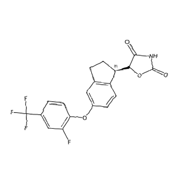 O=C1NC(=O)C([C@@H]2CCc3cc(Oc4ccc(C(F)(F)F)cc4F)ccc32)O1